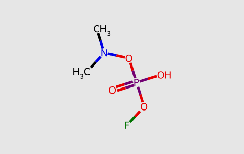 CN(C)OP(=O)(O)OF